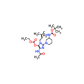 CCOC(=O)Oc1c(NC(C)=O)nc(N2CCCC(NC(=O)OC(C)(C)C)C2)n1CC=C(C)C